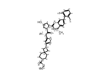 CC(C)[C@H](C(=O)N1C[C@H](O)C[C@H]1C(=O)N[C@@H](C)c1ccc(-c2c(F)cccc2F)cc1)c1cc(N2CC3(CCN(C(=O)OC(C)(C)C)CC3)C2)no1